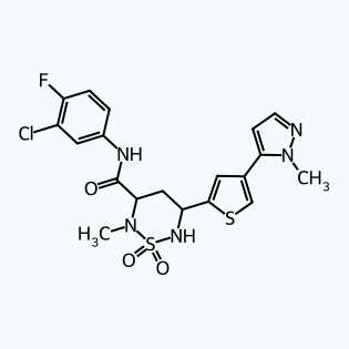 CN1C(C(=O)Nc2ccc(F)c(Cl)c2)CC(c2cc(-c3ccnn3C)cs2)NS1(=O)=O